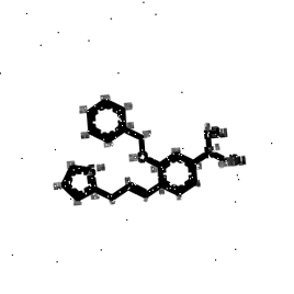 CCCCN(CCCC)c1ccc(/C=C/Cc2cccs2)c(OCc2ccccc2)c1